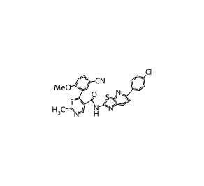 COc1ccc(C#N)cc1-c1cc(C)ncc1C(=O)Nc1nc2ccc(-c3ccc(Cl)cc3)nc2s1